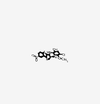 COc1cc(Nc2c(C#N)cnc3c2sc2ccc([N+](=O)[O-])cc23)c(C)cc1Cl